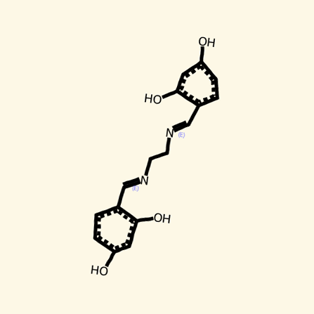 Oc1ccc(/C=N/CC/N=C/c2ccc(O)cc2O)c(O)c1